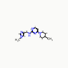 CC1CCN(c2ccnc(NCc3cn(C)cn3)n2)CC1